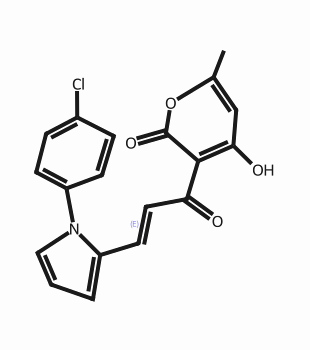 Cc1cc(O)c(C(=O)/C=C/c2cccn2-c2ccc(Cl)cc2)c(=O)o1